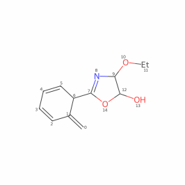 C=C1C=CC=CC1C1=NC(OCC)C(O)O1